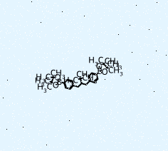 CC(C)(C)C(Cc1ccc(B2OC(C)(C)C(C)(C)O2)cc1)Cc1ccc(B2OC(C)(C)C(C)(C)O2)cc1